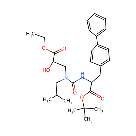 CCOC(=O)C(O)CN(CC(C)C)C(=O)NC(Cc1ccc(-c2ccccc2)cc1)C(=O)OC(C)(C)C